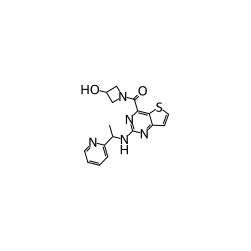 CC(Nc1nc(C(=O)N2CC(O)C2)c2sccc2n1)c1ccccn1